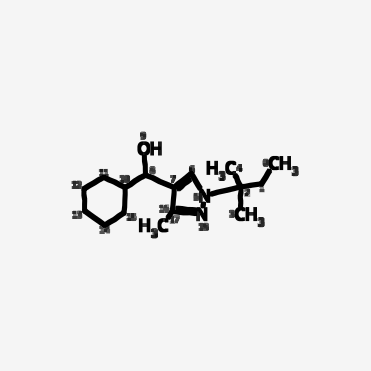 CCC(C)(C)n1cc(C(O)C2CCCCC2)c(C)n1